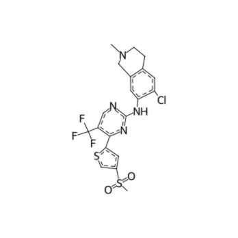 CN1CCc2cc(Cl)c(Nc3ncc(C(F)(F)F)c(-c4cc(S(C)(=O)=O)cs4)n3)cc2C1